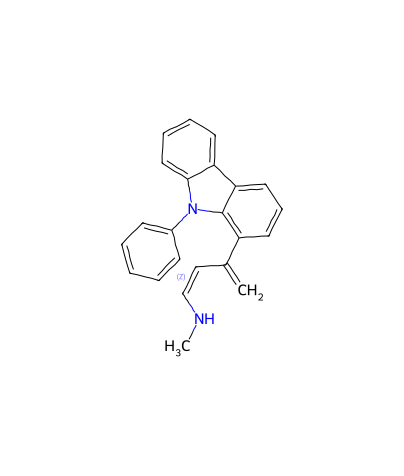 C=C(/C=C\NC)c1cccc2c3ccccc3n(-c3ccccc3)c12